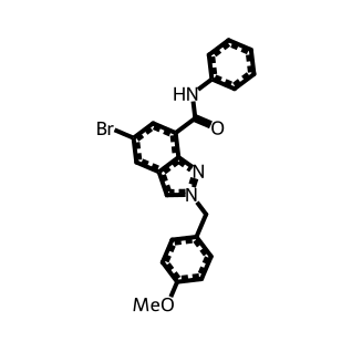 COc1ccc(Cn2cc3cc(Br)cc(C(=O)Nc4ccccc4)c3n2)cc1